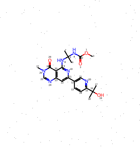 COC(=O)NC(C)(C)Nc1nc(-c2ccc(C(C)(C)O)nc2)cc2ncn(C)c(=O)c12